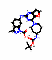 Cc1nn(C(=O)O)c2cc(Nc3nc(N4CCCC(NC(=O)OC(C)(C)C)CC4)c4occc4n3)ccc12